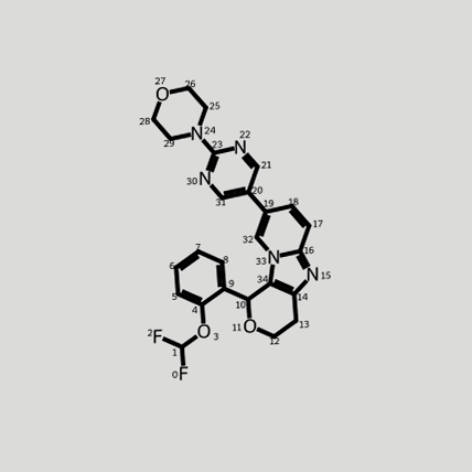 FC(F)Oc1ccccc1C1OCCc2nc3ccc(-c4cnc(N5CCOCC5)nc4)cn3c21